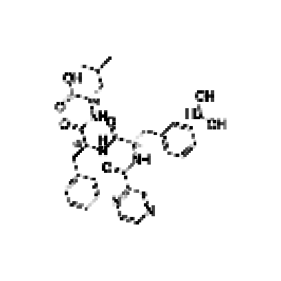 CC(C)C[C@H](NC(=O)[C@H](Cc1ccccc1)NC(=O)[C@H](Cc1ccccc1)NC(=O)c1cnccn1)C(=O)O.OBO